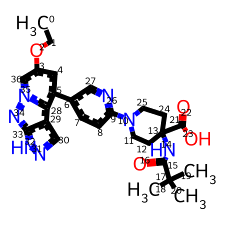 CCOc1cc(-c2ccc(N3CCC(NC(=O)C(C)(C)C)(C(=O)O)CC3)nc2)c2c3cn[nH]c3nn2c1